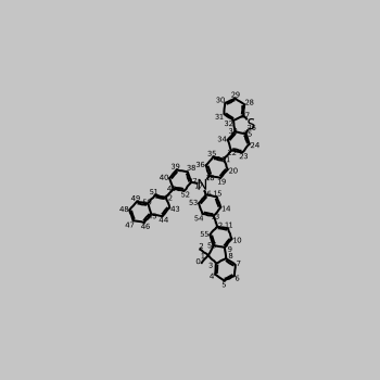 CC1(C)c2ccccc2-c2ccc(-c3ccc(N(c4ccc(-c5ccc6sc7ccccc7c6c5)cc4)c4cccc(-c5ccc6ccccc6c5)c4)cc3)cc21